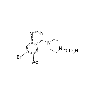 CC(=O)c1cc2c(N3CCN(C(=O)O)CC3)ncnc2cc1Br